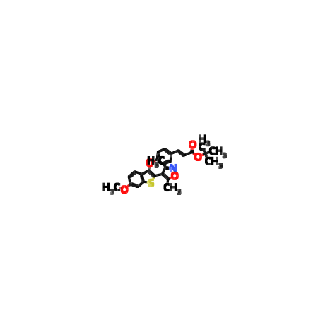 COc1ccc2c(Oc3ccc(C=CC(=O)OC(C)(C)C)cc3)c(-c3c(C)noc3C)sc2c1